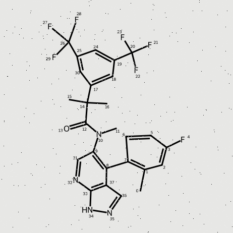 Cc1cc(F)ccc1-c1c(N(C)C(=O)C(C)(C)c2cc(C(F)(F)F)cc(C(F)(F)F)c2)cnc2[nH]ncc12